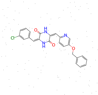 O=c1[nH]/c(=C/c2ccc(OCc3ccccc3)cn2)c(=O)[nH]/c1=C/c1cccc(Cl)c1